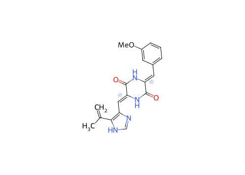 C=C(C)c1[nH]cnc1/C=c1\[nH]c(=O)/c(=C/c2cccc(OC)c2)[nH]c1=O